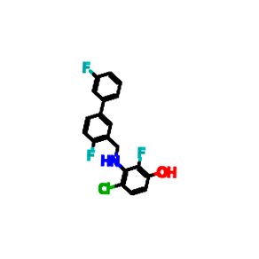 Oc1ccc(Cl)c(NCc2cc(-c3cccc(F)c3)ccc2F)c1F